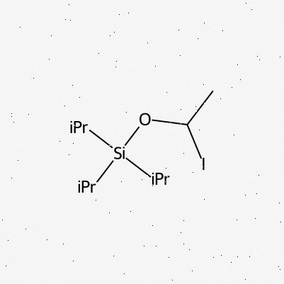 CC(I)O[Si](C(C)C)(C(C)C)C(C)C